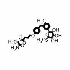 CS[C@H]1O[C@@H](c2ccc(C)c(Cc3ccc(OCCCC(=O)N[C@H](C)C(N)=O)cc3)c2)[C@H](O)[C@@H](O)[C@@H]1O